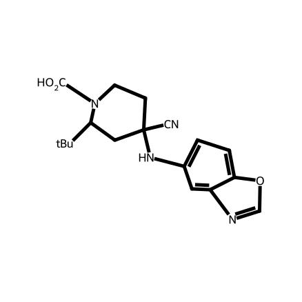 CC(C)(C)C1CC(C#N)(Nc2ccc3ocnc3c2)CCN1C(=O)O